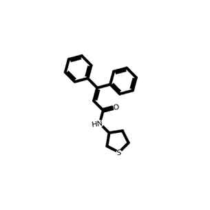 O=C(C=C(c1ccccc1)c1ccccc1)NC1CCSC1